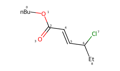 CCCCOC(=O)/C=C/C(Cl)CC